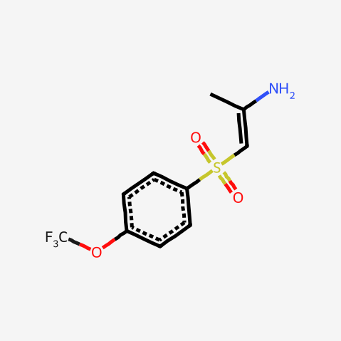 C/C(N)=C\S(=O)(=O)c1ccc(OC(F)(F)F)cc1